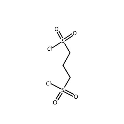 O=S(=O)(Cl)CCCS(=O)(=O)Cl